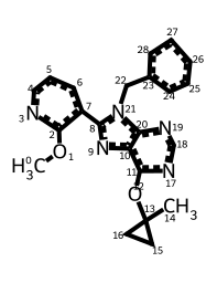 COc1ncccc1-c1nc2c(OC3(C)CC3)ncnc2n1Cc1ccccc1